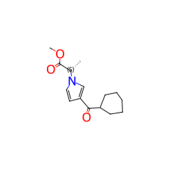 COC(=O)[C@H](C)n1ccc(C(=O)C2CCCCC2)c1